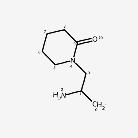 [CH2]C(N)CN1CCCCC1=O